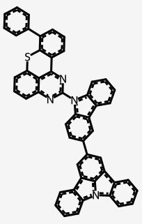 c1ccc(-c2cccc3c2Sc2cccc4nc(-n5c6ccccc6c6cc(-c7cc8c9ccccc9n9c%10ccccc%10c(c7)c89)ccc65)nc-3c24)cc1